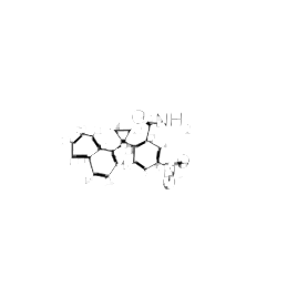 NC(=O)c1cc([N+](=O)[O-])ccc1C1(c2cccc3ccccc23)CC1